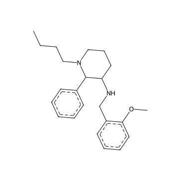 CCCCN1CCCC(NCc2ccccc2OC)C1c1ccccc1